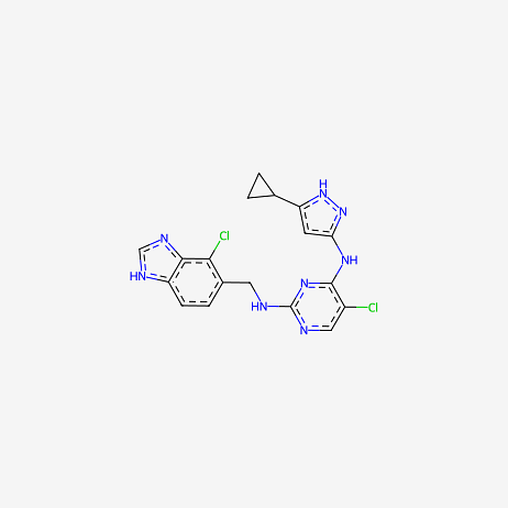 Clc1cnc(NCc2ccc3[nH]cnc3c2Cl)nc1Nc1cc(C2CC2)[nH]n1